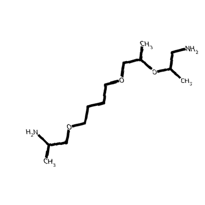 CC(N)COCCCCOCC(C)OC(C)CN